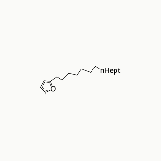 CCCCCCCCCCCCCCc1cc[c]o1